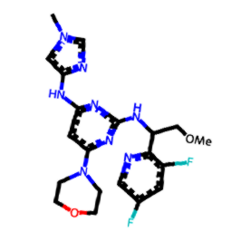 COCC(Nc1nc(Nc2cn(C)cn2)cc(N2CCOCC2)n1)c1ncc(F)cc1F